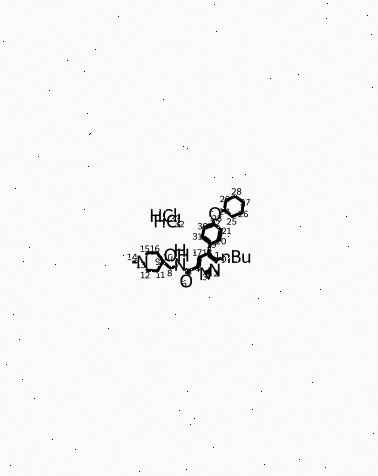 CCCCc1nnc(C(=O)NCC2(O)CCN(C)CC2)cc1-c1ccc(OC2CCCCC2)cc1.Cl.Cl